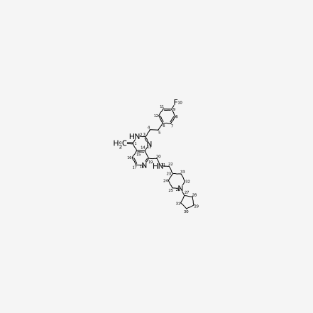 C=C1NC(CCc2ccc(F)cc2)=Nc2c1ccnc2CNCC1CCN(C2CCCC2)CC1